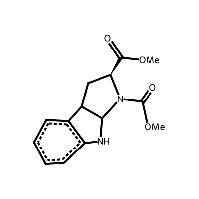 COC(=O)[C@@H]1CC2c3ccccc3NC2N1C(=O)OC